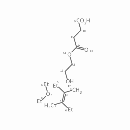 CC/C(C)=C(\C)CC.CCOCC.O=C(O)CCC(=O)OCCO